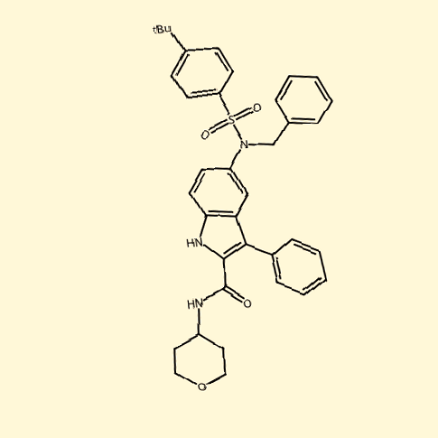 CC(C)(C)c1ccc(S(=O)(=O)N(Cc2ccccc2)c2ccc3[nH]c(C(=O)NC4CCOCC4)c(-c4ccccc4)c3c2)cc1